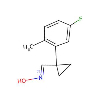 Cc1ccc(F)cc1C1(/C=N/O)CC1